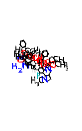 CN1CCC2CN(C(=O)OC(C)(C)C)c3c(OCc4ccccc4)c4c(c(F)c3C21)C[C@H]1C[C@H]2[C@H](N)c3onc(OCc5ccccc5)c3C(=O)[C@@]2(O[Si](C)(C)C(C)(C)C)C(O)=C1C4=O